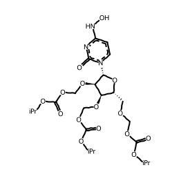 CC(C)OC(=O)OCOC[C@H]1O[C@@H](n2ccc(NO)nc2=O)[C@H](OCOC(=O)OC(C)C)[C@@H]1OCOC(=O)OC(C)C